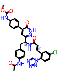 COC(=O)NC1C=CC(c2cc([C@H](Cc3ccc(NC(C)=O)cc3)NC(=O)/C=C/c3cc(Cl)ccc3-n3cnnn3)n[nH]c2=O)=CC1